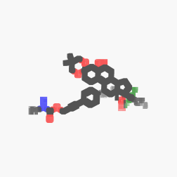 CC(C)NC(=O)OCC#Cc1ccc([C@H]2C[C@@]3(C)C(CC[C@@]3(O)C(F)(F)C(F)(F)F)C3CCC4(O)CC5(CCC4=C32)OCC(C)(C)CO5)cc1